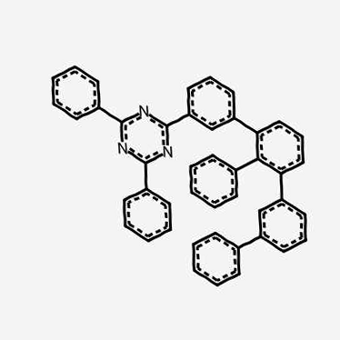 c1ccc(-c2cccc(-c3cccc(-c4cccc(-c5nc(-c6ccccc6)nc(-c6ccccc6)n5)c4)c3-c3ccccc3)c2)cc1